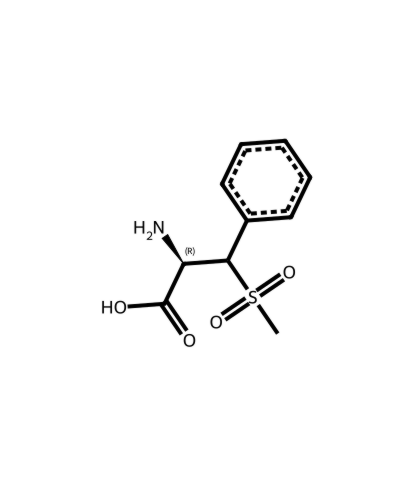 CS(=O)(=O)C(c1ccccc1)[C@H](N)C(=O)O